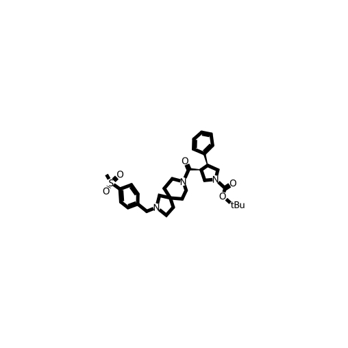 CC(C)(C)OC(=O)N1C[C@H](c2ccccc2)[C@H](C(=O)N2CCC3(CCN(Cc4ccc(S(C)(=O)=O)cc4)C3)CC2)C1